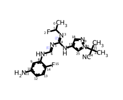 CC(F)/N=C(\N=C\Nc1cc(N)ccc1F)Nc1cnn(C(C)(C)C#N)c1